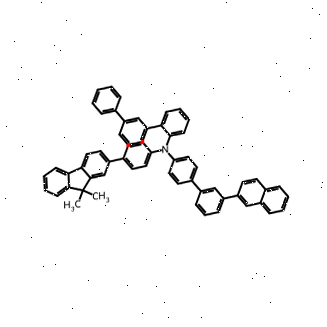 CC1(C)c2ccccc2-c2ccc(-c3ccc(N(c4ccc(-c5cccc(-c6ccc7ccccc7c6)c5)cc4)c4ccccc4-c4cccc(-c5ccccc5)c4)cc3)cc21